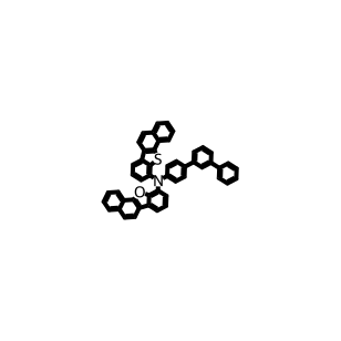 c1ccc(-c2cccc(-c3ccc(N(c4cccc5c4oc4c6ccccc6ccc54)c4cccc5c4sc4c6ccccc6ccc54)cc3)c2)cc1